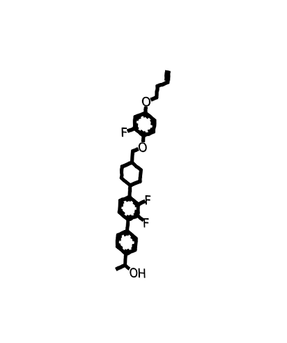 C=CCCOc1ccc(OCC2CCC(c3ccc(-c4ccc(C(C)O)cc4)c(F)c3F)CC2)c(F)c1